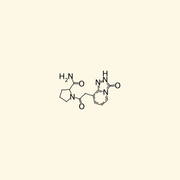 NC(=O)C1CCCN1C(=O)Cc1cccn2c(=O)[nH]nc12